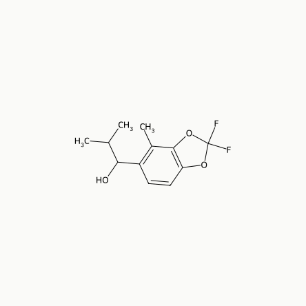 Cc1c(C(O)C(C)C)ccc2c1OC(F)(F)O2